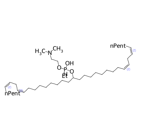 CCCCC/C=C\C/C=C\CCCCCCCCC(CCCCCCCC/C=C\C/C=C\CCCCC)O[PH](O)(CC)OCCN(C)C